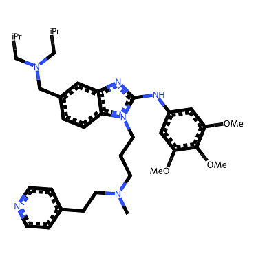 COc1cc(Nc2nc3cc(CN(CC(C)C)CC(C)C)ccc3n2CCCN(C)CCc2ccncc2)cc(OC)c1OC